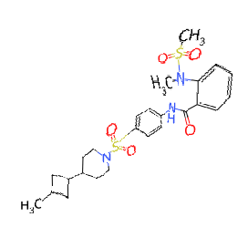 CC1CC(C2CCN(S(=O)(=O)c3ccc(NC(=O)c4ccccc4N(C)S(C)(=O)=O)cc3)CC2)C1